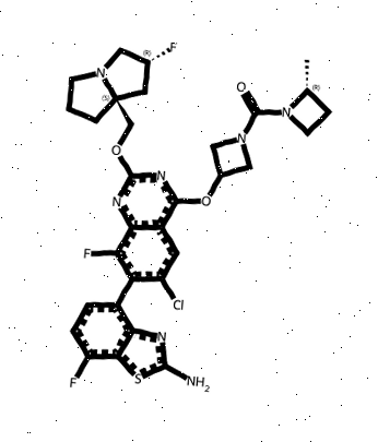 C[C@@H]1CCN1C(=O)N1CC(Oc2nc(OC[C@@]34CCCN3C[C@H](F)C4)nc3c(F)c(-c4ccc(F)c5sc(N)nc45)c(Cl)cc23)C1